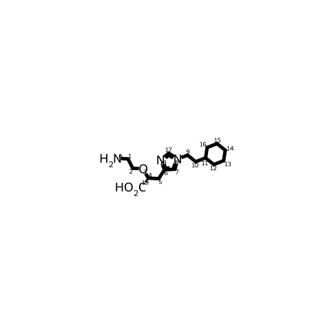 NCCO[C@@H](Cc1cn(CCC2CCCCC2)cn1)C(=O)O